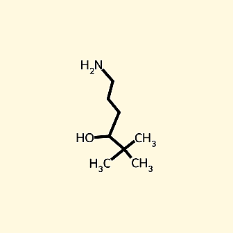 CC(C)(C)C(O)CCCN